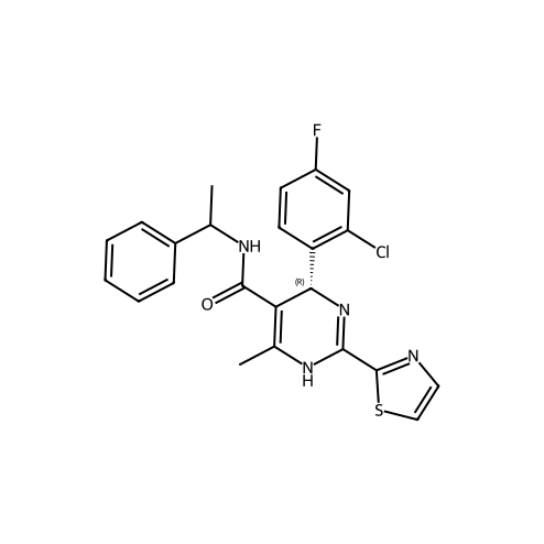 CC1=C(C(=O)NC(C)c2ccccc2)[C@H](c2ccc(F)cc2Cl)N=C(c2nccs2)N1